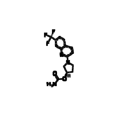 NC(=O)O[C@@H]1CCN(c2ccc3ccc(C(F)(F)F)cc3n2)C1